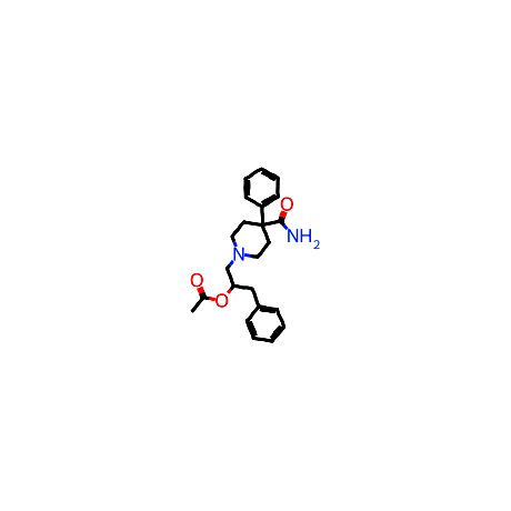 CC(=O)OC(Cc1ccccc1)CN1CCC(C(N)=O)(c2ccccc2)CC1